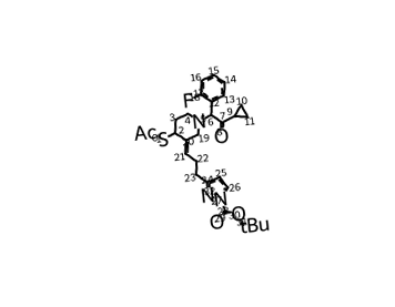 CC(=O)SC1CCN(C(C(=O)C2CC2)c2ccccc2F)CC1=CCCc1ccn(C(=O)OC(C)(C)C)n1